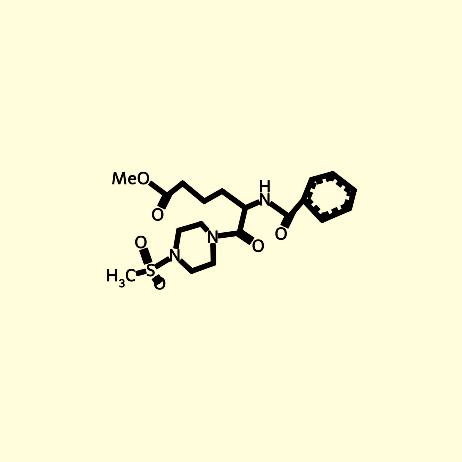 COC(=O)CCCC(NC(=O)c1ccccc1)C(=O)N1CCN(S(C)(=O)=O)CC1